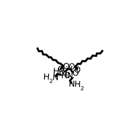 CCCCCCCCCCCC(=O)O[C@@H](C(=O)NCCN)[C@@H](OC(=O)CCCCCCCCCCC)C(=O)NCCN